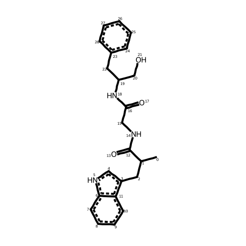 C[C](Cc1c[nH]c2ccccc12)C(=O)NCC(=O)NC(CO)Cc1ccccc1